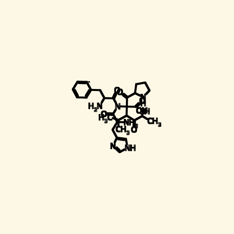 CC(S)C(=O)C(C(C)C)C(C(=O)O)(C(=O)C1CCCN1)N(C(=O)C(N)Cc1[c]cccc1)C(=O)C(N)Cc1c[nH]cn1